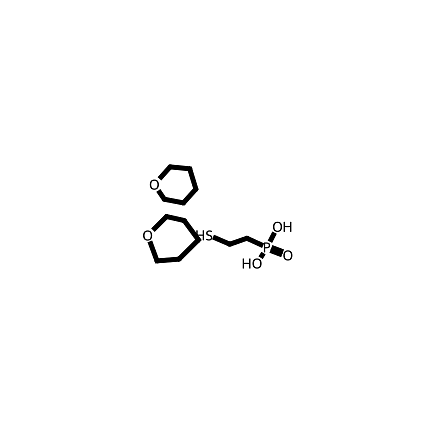 C1CCOCC1.C1CCOCC1.O=P(O)(O)CCS